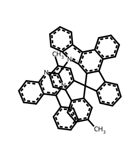 Cc1ccc2c(c1)C1(c3cc(C)ccc3-2)c2ccccc2-c2c1c1c(c3ccccc23)c2ccccc2n1-c1nc(-c2ccccc2)c2ccccc2n1